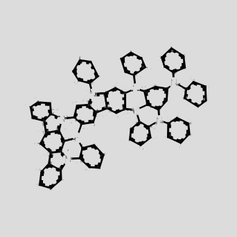 c1ccc(N(c2ccccc2)c2cc3c4c(c2)N(c2ccccc2)c2cc5c(cc2B4c2ccccc2N3c2ccccc2)c2cc3c(cc2n5-c2ccccc2)-n2c4ccccc4c4cc5c6ccccc6n6c5c(c42)B3c2ccccc2-6)cc1